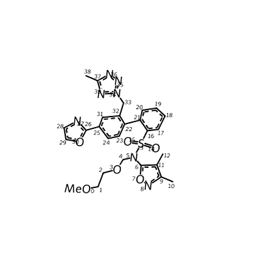 COCCOCN(c1onc(C)c1C)S(=O)(=O)c1ccccc1-c1ccc(-c2ncco2)cc1Cn1nnc(C)n1